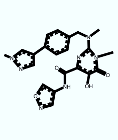 CN(Cc1ccc(-c2cnn(C)c2)cc1)c1nc(C(=O)Nc2cnoc2)c(O)c(=O)n1C